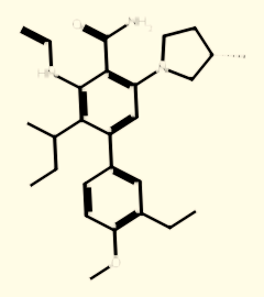 C=CNc1c(C(N)=O)c(N2CC[C@H](C)C2)cc(-c2ccc(OC)c(CC)c2)c1C(C)CC